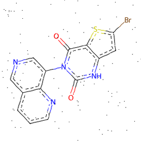 O=c1[nH]c2cc(Br)sc2c(=O)n1-c1cncc2cccnc12